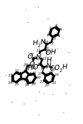 N[C@@H](Cc1ccccc1)C(O)CN(C[C@@H](O)[C@H](Cc1ccccc1)NC(=O)O)C(=O)OCC1c2ccccc2-c2ccccc21